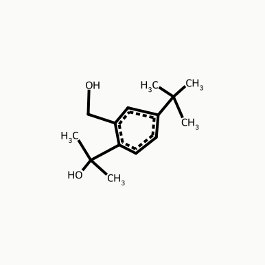 CC(C)(C)c1ccc(C(C)(C)O)c(CO)c1